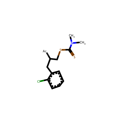 CC(=O)C(CSC(=S)N(C)C)Cc1ccccc1Cl